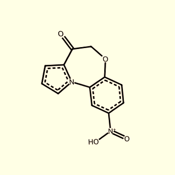 O=C1COc2ccc([N+](=O)O)cc2-n2cccc21